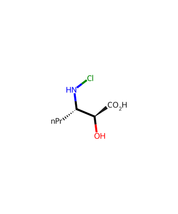 CCC[C@H](NCl)[C@H](O)C(=O)O